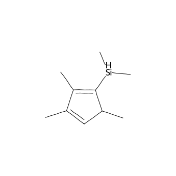 CC1=CC(C)C([SiH](C)C)=C1C